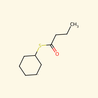 CCCC(=O)SC1C[CH]CCC1